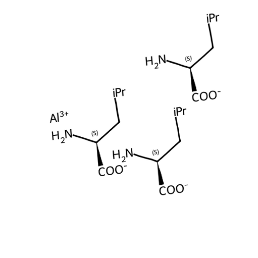 CC(C)C[C@H](N)C(=O)[O-].CC(C)C[C@H](N)C(=O)[O-].CC(C)C[C@H](N)C(=O)[O-].[Al+3]